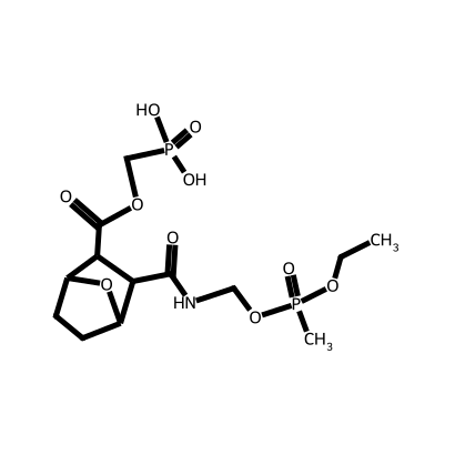 CCOP(C)(=O)OCNC(=O)C1C2CCC(O2)C1C(=O)OCP(=O)(O)O